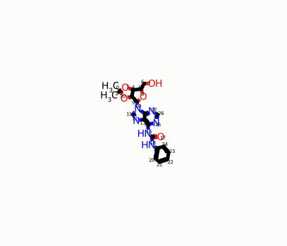 CC1(C)OC2C(CO)OC(n3cnc4c(NC(=O)Nc5ccccc5)ncnc43)C2O1